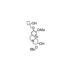 COc1cc2c(cc1OCC1(O)CCC1)CCN1C[C@@H](OC(C)(C)C)[C@H](O)C[C@H]21